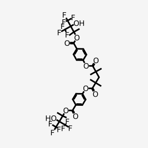 CC(C)(CC(C)(C)C(=O)Oc1ccc(C(=O)OC(C)(C)C(O)(C(F)(F)F)C(F)(F)F)cc1)C(=O)Oc1ccc(C(=O)OC(C)(C)C(O)(C(F)(F)F)C(F)(F)F)cc1